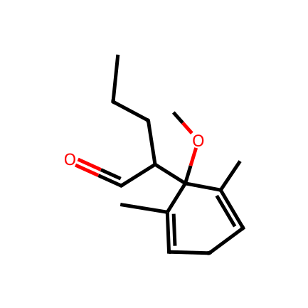 CCCC(C=O)C1(OC)C(C)=CCC=C1C